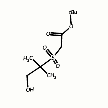 CC(C)(C)OC(=O)CS(=O)(=O)C(C)(C)CO